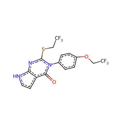 O=c1c2cc[nH]c2nc(SCC(F)(F)F)n1-c1ccc(OCC(F)(F)F)cc1